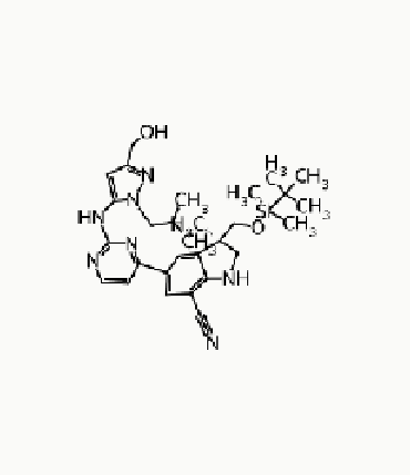 CC(C)Cn1nc(CO)cc1Nc1nccc(-c2cc(C#N)c3c(c2)[C@@](C)(CO[Si](C)(C)C(C)(C)C)CN3)n1